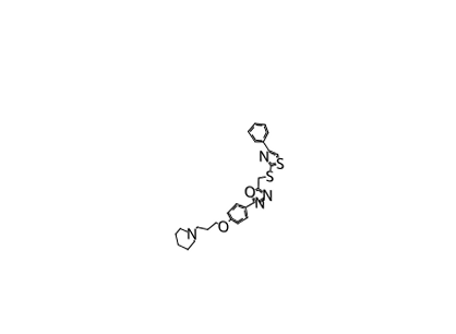 c1ccc(-c2csc(SCc3nnc(-c4ccc(OCCCN5CCCCC5)cc4)o3)n2)cc1